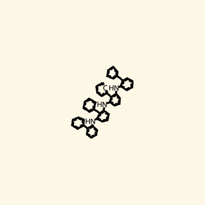 c1ccc(-c2ccccc2Nc2cccc(Nc3cccc(Nc4ccccc4-c4ccccc4)c3-c3ccccc3)c2-c2ccccc2)cc1